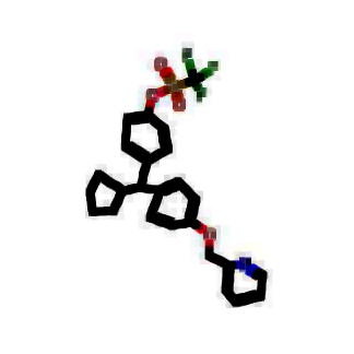 O=S(=O)(Oc1ccc(C(c2ccc(OCc3ccccn3)cc2)C2CCCC2)cc1)C(F)(F)F